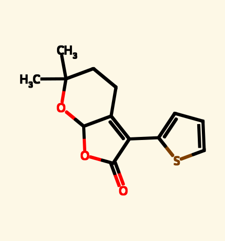 CC1(C)CCC2=C(c3cccs3)C(=O)OC2O1